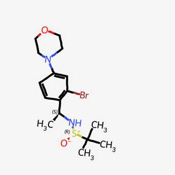 C[C@H](N[S@@+]([O-])C(C)(C)C)c1ccc(N2CCOCC2)cc1Br